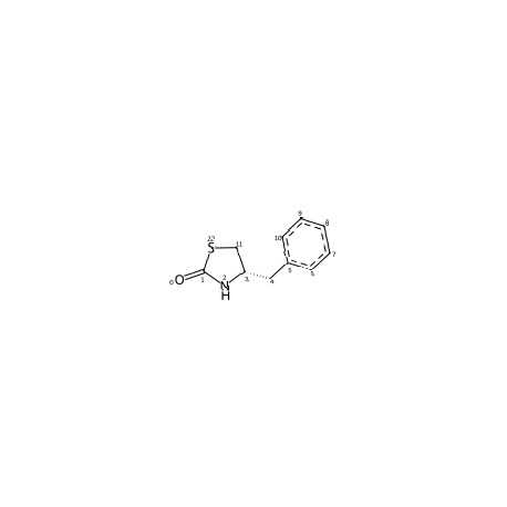 O=C1N[C@@H](Cc2ccccc2)CS1